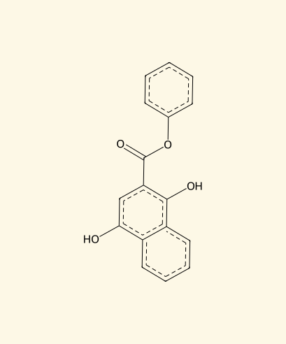 O=C(Oc1ccccc1)c1cc(O)c2ccccc2c1O